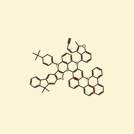 C#C/C=C\c1c(C)oc2cccc(N3c4cc(N(c5ccccc5-c5ccccc5)c5ccccc5-c5ccccc5)ccc4B4c5sc6cc7c(cc6c5N(C5=CCC(C(C)(C)C)C=C5)c5cccc3c54)-c3ccccc3C7(C)C)c12